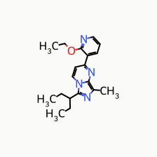 CCOc1ncccc1-c1ccn2c(C(CC)CC)nc(C)c2n1